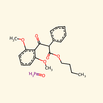 CCCCOC(=O)C(C(=O)c1c(OC)cccc1OC)c1ccccc1.O=[PH3]